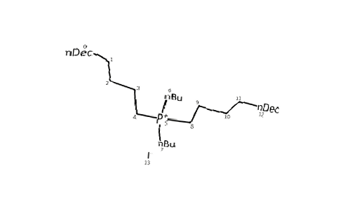 CCCCCCCCCCCCCC[P+](CCCC)(CCCC)CCCCCCCCCCCCCC.[I-]